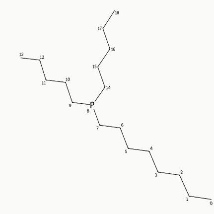 CCCCCCCCP(CCCCC)CCCCC